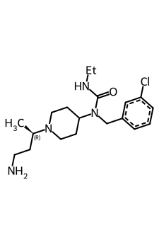 CCNC(=O)N(Cc1cccc(Cl)c1)C1CCN([C@H](C)CCN)CC1